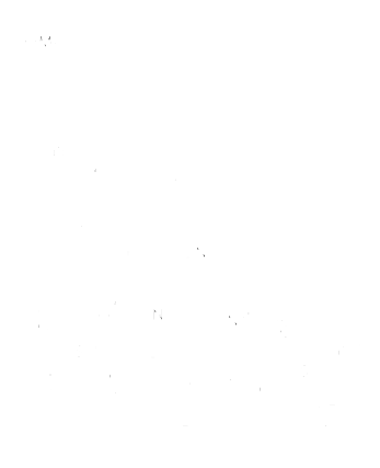 COCCOc1ccc(Nc2nc(OS(=O)(=O)C(F)(F)F)c(F)c(OS(=O)(=O)C(F)(F)F)n2)cc1